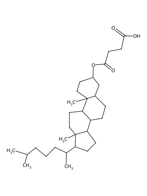 CC(C)CCCC(C)C1CCC2C3CCC4CC(OC(=O)CCC(=O)O)CCC4(C)C3CCC12C